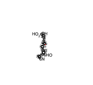 Cc1c(COc2cc(OCc3cncc(C#N)c3)c(C=O)cc2Cl)cccc1-c1cccc(OCCCN2CCC(O)(C(=O)O)CC2)c1C